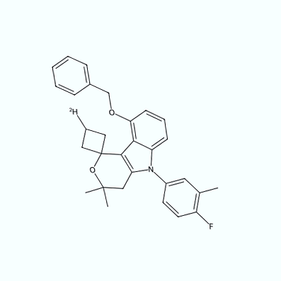 [2H]C1CC2(C1)OC(C)(C)Cc1c2c2c(OCc3ccccc3)cccc2n1-c1ccc(F)c(C)c1